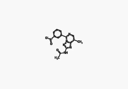 CC(=O)Nc1nc2c(C)cnc(-c3cccc([N+](=O)[O-])c3)n2n1